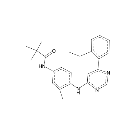 CCc1ccccc1-c1cc(Nc2ccc(NC(=O)C(C)(C)C)cc2C)ncn1